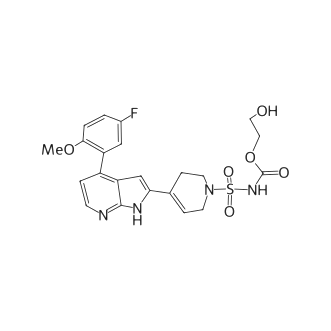 COc1ccc(F)cc1-c1ccnc2[nH]c(C3=CCN(S(=O)(=O)NC(=O)OCCO)CC3)cc12